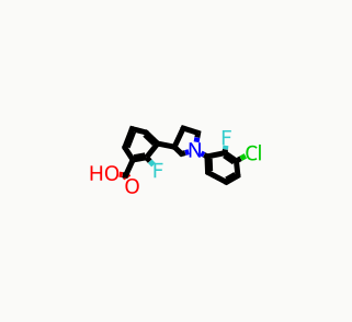 O=C(O)c1cccc(C2CCN(c3cccc(Cl)c3F)C2)c1F